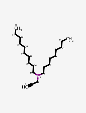 C#CCP(CCCCCCCCC)CCCCCCCCCC